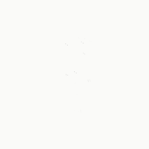 Cc1cc(CCC(=O)O)ccc1-c1noc(-c2cnc(N(C)C(C)C)c(C#N)c2)n1